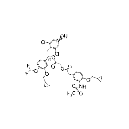 CS(=O)(=O)Nc1cc(CC(=O)OCC(=O)O[C@@H](Cc2c(Cl)c[n+](O)cc2Cl)c2ccc(OC(F)F)c(OCC3CC3)c2)ccc1OCC1CC1